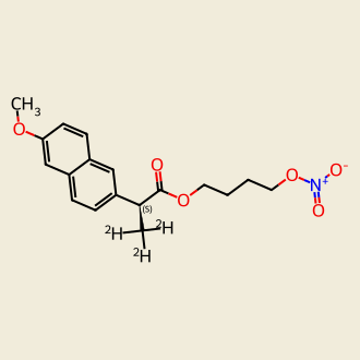 [2H]C([2H])([2H])[C@H](C(=O)OCCCCO[N+](=O)[O-])c1ccc2cc(OC)ccc2c1